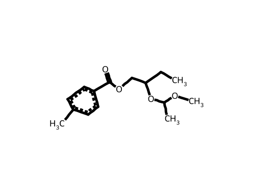 CCC(COC(=O)c1ccc(C)cc1)OC(C)OC